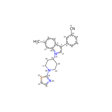 Cc1ccc2c(-c3cccc(C#N)c3)cn(C3CCN(c4nccs4)CC3)c2c1